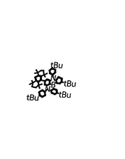 CC(C)(C)c1ccc(N2c3ccc(C(C)(C)C)cc3B3c4cc(C(C)(C)C)ccc4N(c4ccc(C(C)(C)C)cc4)c4cc(-c5c6c(cc7c5C(C)(C)CCC7(C)C)C(C)(C)CCC6(C)C)cc2c43)cc1